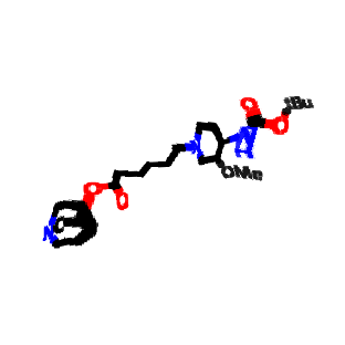 COC1CN(CCCCCC(=O)OC2CN3CCC2CC3)CC[C@H]1NC(=O)OC(C)(C)C